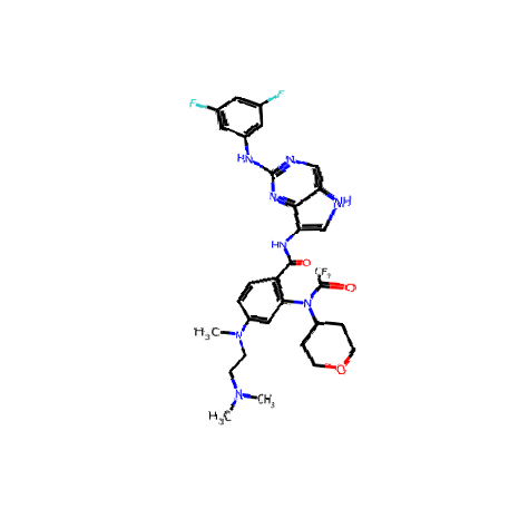 CN(C)CCN(C)c1ccc(C(=O)Nc2c[nH]c3cnc(Nc4cc(F)cc(F)c4)nc23)c(N(C(=O)C(F)(F)F)C2CCOCC2)c1